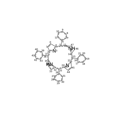 C1=Cc2nc1c(-c1ccccc1)c1[nH]c(c(-c3ccccc3)c3nc(c(-c4ccccc4)c4ccc([nH]4)c2-c2ccccc2)C=C3)CC1